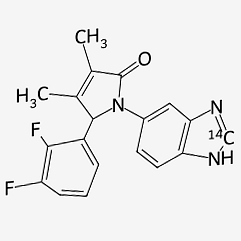 CC1=C(C)C(c2cccc(F)c2F)N(c2ccc3[nH][14cH]nc3c2)C1=O